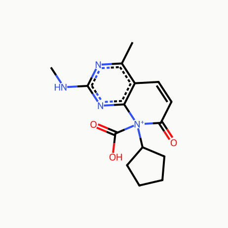 CNc1nc(C)c2c(n1)[N+](C(=O)O)(C1CCCC1)C(=O)C=C2